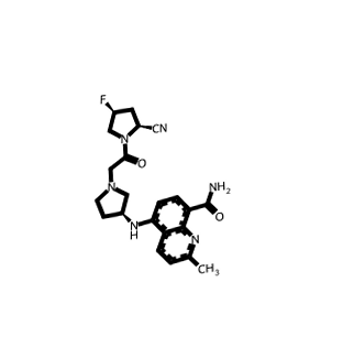 Cc1ccc2c(N[C@H]3CCN(CC(=O)N4C[C@@H](F)C[C@H]4C#N)C3)ccc(C(N)=O)c2n1